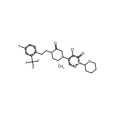 C[C@@H]1CN(CCc2ccc(F)cc2C(F)(F)F)C(=O)CN1c1cnn(C2CCCCO2)c(=O)c1Cl